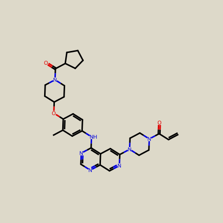 C=CC(=O)N1CCN(c2cc3c(Nc4ccc(OC5CCN(C(=O)C6CCCC6)CC5)c(C)c4)ncnc3cn2)CC1